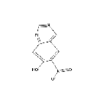 O=[N+]([O-])c1cc2cncnc2cc1O